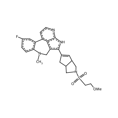 COCCS(=O)(=O)N1CC2C=C(c3[nH]c4nccc5c4c3CN(C)c3ccc(F)cc3-5)CC2C1